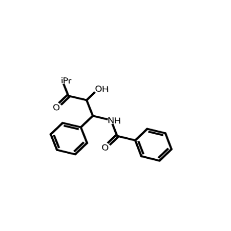 CC(C)C(=O)C(O)C(NC(=O)c1ccccc1)c1ccccc1